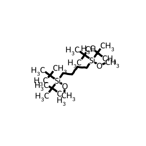 CO[Si](CCCC[Si](OC)(C(C)(C)C)C(C)(C)C)(C(C)(C)C)C(C)(C)C